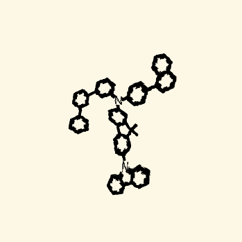 CC1(C)c2cc(N(c3ccc(-c4cccc5ccccc45)cc3)c3cccc(-c4cccc(-c5ccccc5)c4)c3)ccc2-c2ccc(-n3c4ccccc4c4ccccc43)cc21